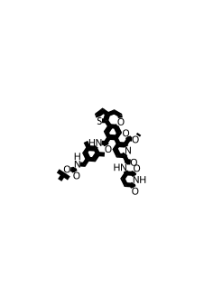 COC(=O)c1nc(C(=O)NC2CCC(=O)NC2=O)ccc1-c1cc2c(cc1C(=O)Nc1c(C)cc(CNC(=O)OC(C)(C)C)cc1C)-c1sccc1CCO2